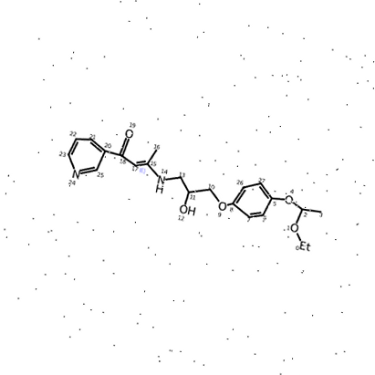 CCOC(C)Oc1ccc(OCC(O)CN/C(C)=C/C(=O)c2cccnc2)cc1